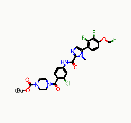 Cn1c(-c2ccc(OCF)c(F)c2F)cnc1C(=O)Nc1ccc(C(=O)N2CCN(C(=O)OC(C)(C)C)CC2)c(Cl)c1